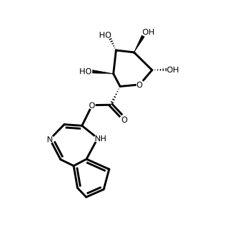 O=C(OC1=CN=Cc2ccccc2N1)[C@H]1O[C@@H](O)[C@H](O)[C@@H](O)[C@@H]1O